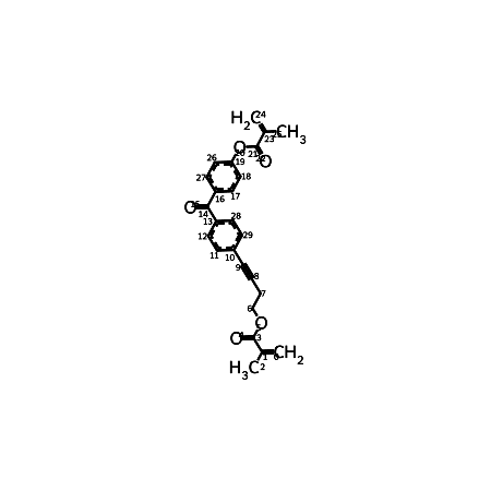 C=C(C)C(=O)OCCC#Cc1ccc(C(=O)c2ccc(OC(=O)C(=C)C)cc2)cc1